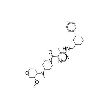 COC1COCCC1N(C)C1CCN(C(=O)c2ncnc(NCC3CCC[C@@H](c4ccccc4)C3)c2C)CC1